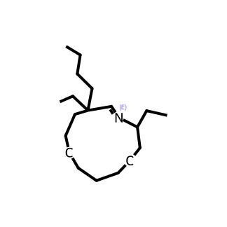 CCCCC1(CC)/C=N/C(CC)CCCCCCCC1